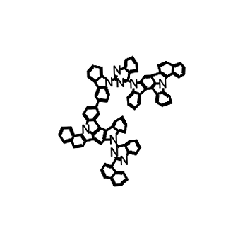 c1ccc2c(-c3nc(-n4c5ccccc5c5c6c7cc(-c8ccc9c(c8)c8ccccc8n9-c8nc(-n9c%10ccccc%10c%10c%11c%12ccccc%12n%12c%13c%14ccccc%14ccc%13c(cc%109)c%11%12)c9ccccc9n8)ccc7n7c8c9ccccc9ccc8c(cc54)c67)c4ccccc4n3)cccc2c1